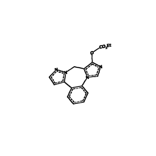 CCOC(=O)Oc1ncn2c1Cn1nccc1-c1ccccc1-2